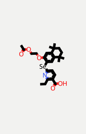 CCc1nc([Se]c2cc3c(cc2OCCOC(C)=O)C(C)(C)CCC3(C)C)ccc1C(=O)O